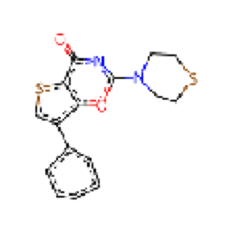 O=c1nc(N2CCSCC2)oc2c(-c3ccccc3)csc12